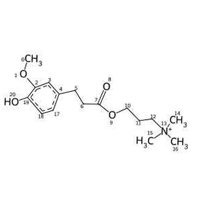 COc1cc(CCC(=O)OCCC[N+](C)(C)C)ccc1O